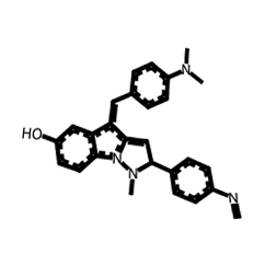 C=Nc1ccc(C2C=c3/c(=C\c4ccc(N(C)C)cc4)c4cc(O)ccc4n3N2C)cc1